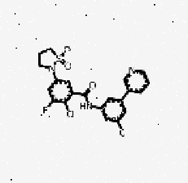 O=C(Nc1cc(Cl)cc(-c2cccnc2)c1)c1cc(N2CCCS2(=O)=O)cc(F)c1Cl